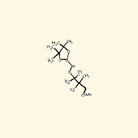 COCC(C)(C)C(C)(C)OBB1OC(C)(C)C(C)(C)O1